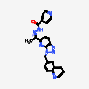 C/C(=N/NC(=O)c1ccncc1)c1ccc2nnn(Cc3ccc4ncccc4c3)c2n1